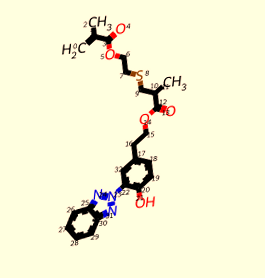 C=C(C)C(=O)OCCSCC(C)C(=O)OCCc1ccc(O)c(-n2nc3ccccc3n2)c1